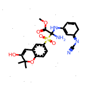 COC(=O)C(N)(NC1=CC(=NC#N)CC=C1)S(=O)(=O)c1ccc2c(c1)C=C(O)C(C)(C)O2